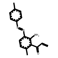 C=CC(=O)c1c(C)ccc(N=Nc2ccc(C)cc2)c1N